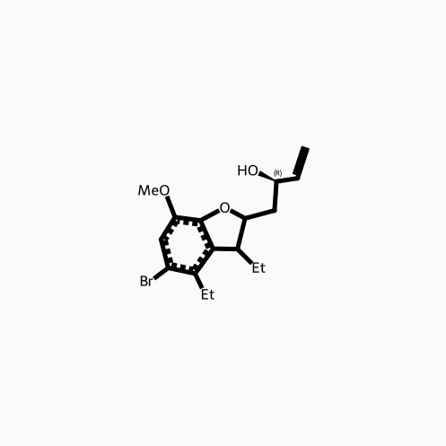 C=C[C@H](O)CC1Oc2c(OC)cc(Br)c(CC)c2C1CC